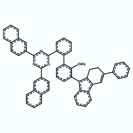 COc1c(-c2ccccc2-c2nc(-c3ccc4ccccc4c3)nc(-c3ccc4ccccc4c3)n2)cccc1-n1c2c(c3ccccc31)C=C(c1ccccc1)CC2